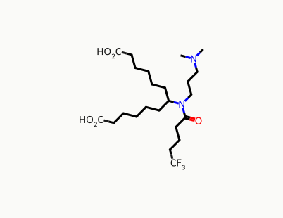 CN(C)CCCN(C(=O)CCCC(F)(F)F)C(CCCCCC(=O)O)CCCCCC(=O)O